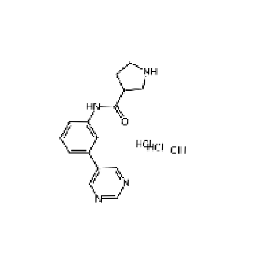 Cl.Cl.Cl.O=C(Nc1cccc(-c2cncnc2)c1)C1CCNC1